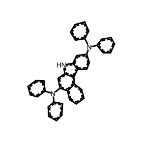 c1ccc(N(c2ccccc2)c2ccc3c(c2)[nH]c2cc(N(c4ccccc4)c4ccccc4)c4ccccc4c23)cc1